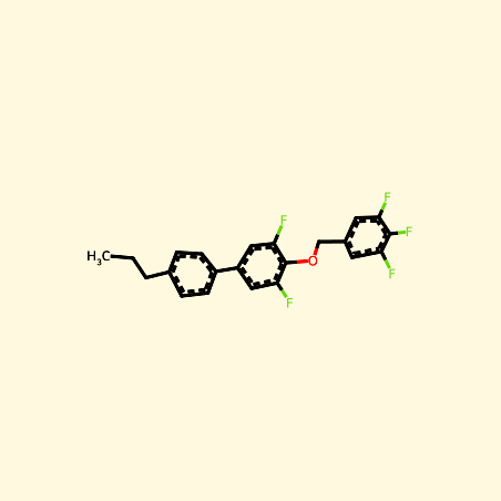 CCCc1ccc(-c2cc(F)c(OCc3cc(F)c(F)c(F)c3)c(F)c2)cc1